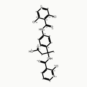 CC(CC(=O)O)(NC(=O)c1cccnc1Cl)c1ccc(NC(=O)c2c(Cl)cncc2Cl)cc1